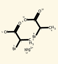 CC(Br)C(=O)[O-].CC(Br)C(=O)[O-].[Mg+2]